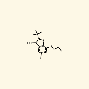 CCCSc1cc(C)cc2c1SN(C(C)(C)C)C2O